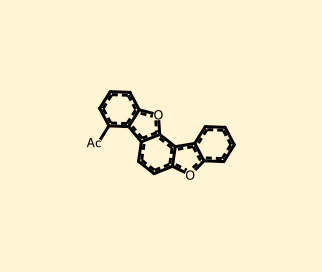 CC(=O)c1cccc2oc3c(ccc4oc5ccccc5c43)c12